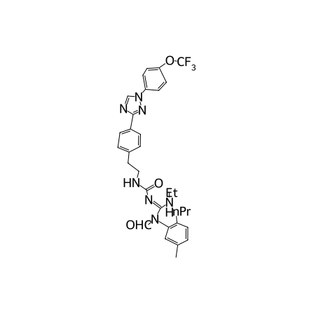 CCCc1ccc(C)cc1N(C=O)/C(=N/C(=O)NCCc1ccc(-c2ncn(-c3ccc(OC(F)(F)F)cc3)n2)cc1)NCC